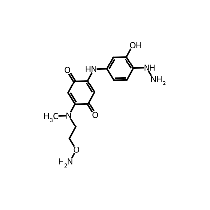 CN(CCON)C1=CC(=O)C(Nc2ccc(NN)c(O)c2)=CC1=O